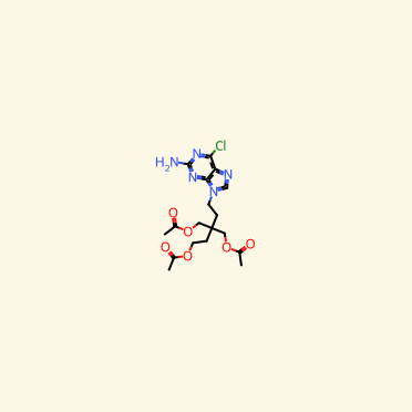 CC(=O)OCCC(CCn1cnc2c(Cl)nc(N)nc21)(COC(C)=O)COC(C)=O